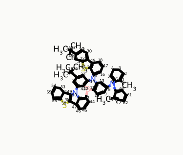 CC1=CCCC=C1N(c1ccc2c(c1)N(c1cccc3c1SC1CC(C(C)(C)C)=CC=C31)c1cc(C(C)(C)C)cc3c1B2c1cccc2c4c(n-3c12)C1CC=CC=C1S4)c1ccccc1C